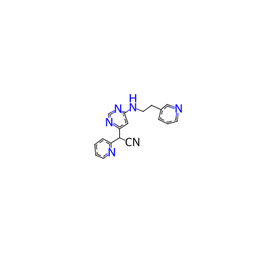 N#CC(c1ccccn1)c1cc(NCCc2cccnc2)ncn1